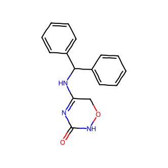 O=C1N=C(NC(c2ccccc2)c2ccccc2)CON1